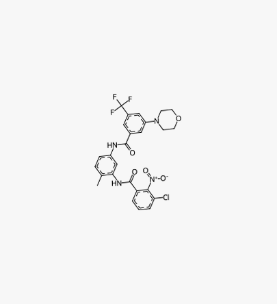 Cc1ccc(NC(=O)c2cc(N3CCOCC3)cc(C(F)(F)F)c2)cc1NC(=O)c1cccc(Cl)c1[N+](=O)[O-]